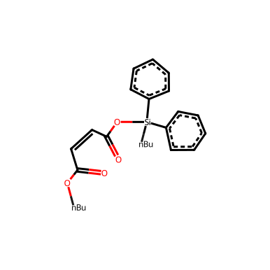 CCCCOC(=O)/C=C\C(=O)O[Si](CCCC)(c1ccccc1)c1ccccc1